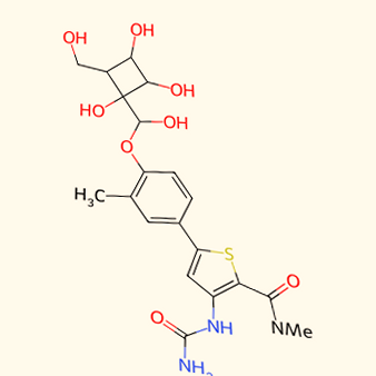 CNC(=O)c1sc(-c2ccc(OC(O)C3(O)C(O)C(O)C3CO)c(C)c2)cc1NC(N)=O